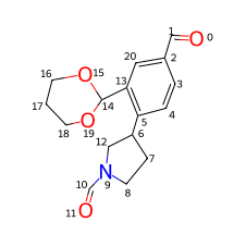 O=Cc1ccc(C2CCN(C=O)C2)c(C2OCCCO2)c1